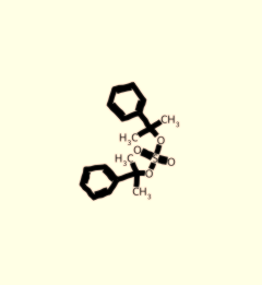 CC(C)(OS(=O)(=O)OC(C)(C)c1ccccc1)c1ccccc1